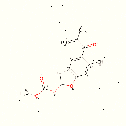 C=C(C)C(=O)c1cc2c(cc1C)OC(OC(=O)OC)C2